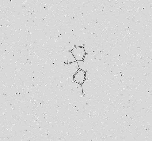 CNC1(c2ccc(Cl)cc2)C=CC=CC1